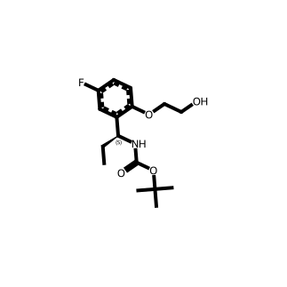 CC[C@H](NC(=O)OC(C)(C)C)c1cc(F)ccc1OCCO